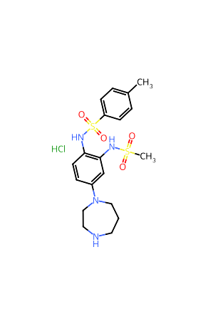 Cc1ccc(S(=O)(=O)Nc2ccc(N3CCCNCC3)cc2NS(C)(=O)=O)cc1.Cl